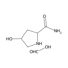 NC(=O)C1CC(O)CN1.O=CO